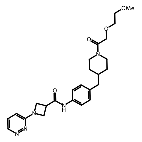 COCCOCC(=O)N1CCC(Cc2ccc(NC(=O)C3CN(c4cccnn4)C3)cc2)CC1